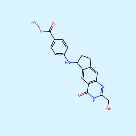 CCCCOC(=O)c1ccc(NC2CCc3cc4nc(CO)[nH]c(=O)c4cc32)cc1